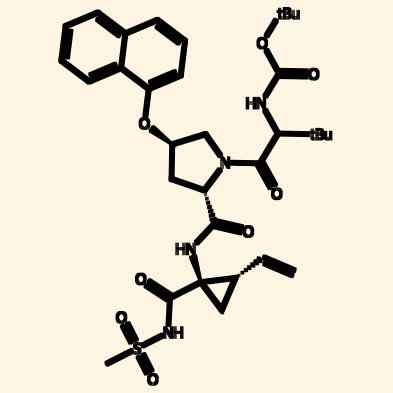 C=C[C@@H]1C[C@]1(NC(=O)[C@@H]1C[C@@H](Oc2cccc3ccccc23)CN1C(=O)C(NC(=O)OC(C)(C)C)C(C)(C)C)C(=O)NS(C)(=O)=O